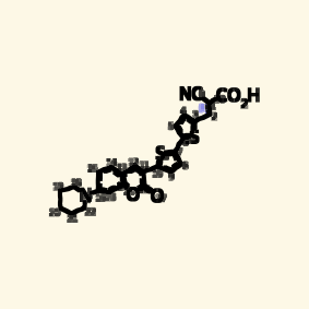 N#C/C(=C\c1ccc(-c2ccc(-c3cc4ccc(N5CCCCC5)cc4oc3=O)s2)s1)C(=O)O